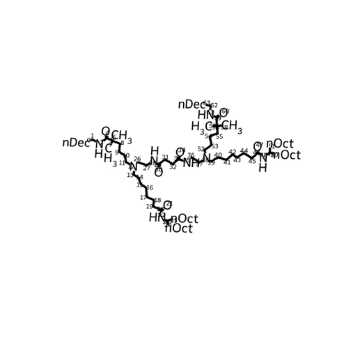 CCCCCCCCCCCNC(=O)C(C)(C)CCCCN(CCCCCCCC(=O)NC(CCCCCCCC)CCCCCCCC)CCNC(=O)CCC(=O)NCCN(CCCCCCCC(=O)NC(CCCCCCCC)CCCCCCCC)CCCCC(C)(C)C(=O)NCCCCCCCCCCC